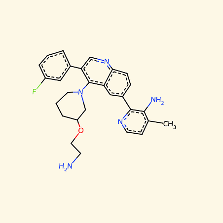 Cc1ccnc(-c2ccc3ncc(-c4cccc(F)c4)c(N4CCCC(OCCN)C4)c3c2)c1N